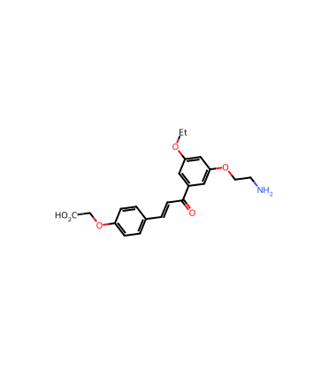 CCOc1cc(OCCN)cc(C(=O)/C=C/c2ccc(OCC(=O)O)cc2)c1